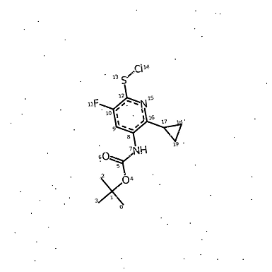 CC(C)(C)OC(=O)Nc1cc(F)c(SCl)nc1C1CC1